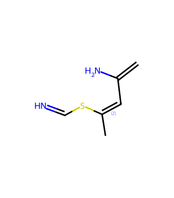 C=C(N)/C=C(/C)SC=N